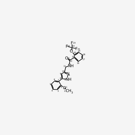 COc1ccccc1-c1cc(CNC(=O)c2ccccc2OC(F)(F)F)n[nH]1